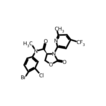 Cc1cc(C(F)(F)F)cc(N2C(=O)OC[C@H]2C(=O)N(C)c2ccc(Br)c(Cl)c2)n1